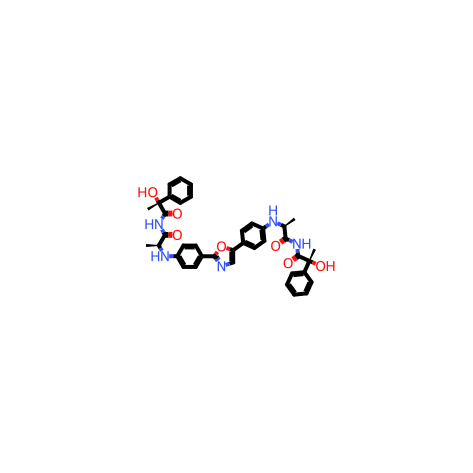 C[C@H](Nc1ccc(-c2cnc(-c3ccc(N[C@@H](C)C(=O)NC(=O)[C@](C)(O)c4ccccc4)cc3)o2)cc1)C(=O)NC(=O)[C@](C)(O)c1ccccc1